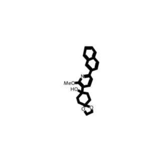 COc1nc(-c2ccc3ccccc3c2)ccc1C1(O)CCC2(CC1)OCCO2